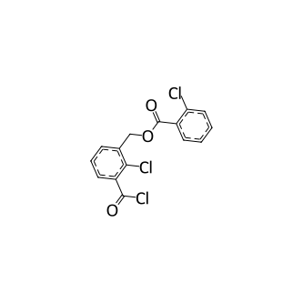 O=C(OCc1cccc(C(=O)Cl)c1Cl)c1ccccc1Cl